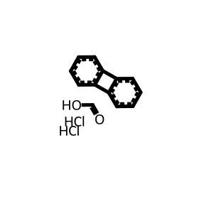 Cl.Cl.O=CO.c1ccc2c(c1)-c1ccccc1-2